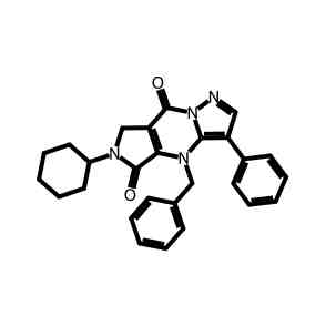 O=C1c2c(c(=O)n3ncc(-c4ccccc4)c3n2Cc2ccccc2)CN1C1CCCCC1